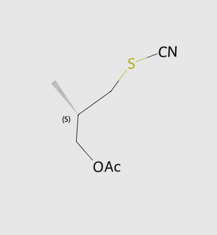 CC(=O)OC[C@H](C)CSC#N